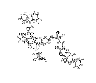 CC(C)C(NC(=O)OCC1c2ccccc2-c2ccccc21)C(=O)N[C@@H](CCCNC(N)=O)C(=O)Nc1ccc(COC(=O)N(C)CCN(C)C(=O)OC(C)(C)c2ccc(-c3ccccc3)cc2)cc1